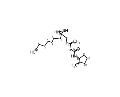 C#CCCCCCCC1(CCC(=C)CC(=O)NC2CCCC2=C)NN1